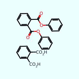 O=C(O)c1ccccc1C(=O)O.O=C(Oc1ccccc1)c1ccccc1C(=O)Oc1ccccc1